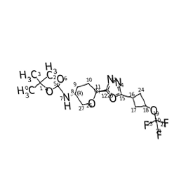 CC(C)(C)OC(=O)N[C@@H]1CC[C@@H](c2nnc(C3CC(OC(F)(F)F)C3)o2)OC1